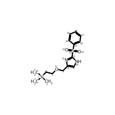 C[Si](C)(C)CCOCc1c[nH]c(S(=O)(=O)c2ccccc2)n1